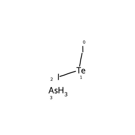 I[Te]I.[AsH3]